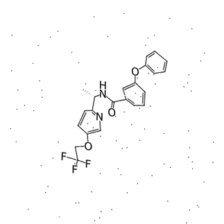 C[C@H](NC(=O)c1cccc(Oc2ccccc2)c1)c1ccc(OCC(F)(F)F)cn1